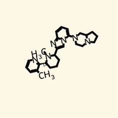 Cc1cccnc1[C@@H]1CCCC(c2cn3c(N4CCN5CCCC5C4)cccc3n2)N1C